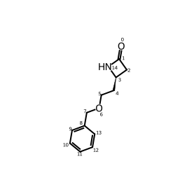 O=C1C[C@@H](CCOCc2ccccc2)N1